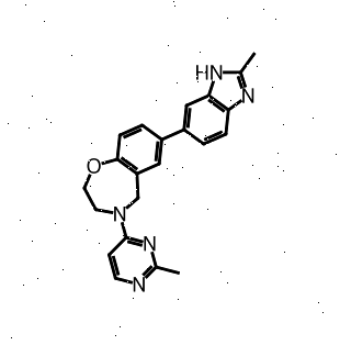 Cc1nccc(N2CCOc3ccc(-c4ccc5nc(C)[nH]c5c4)cc3C2)n1